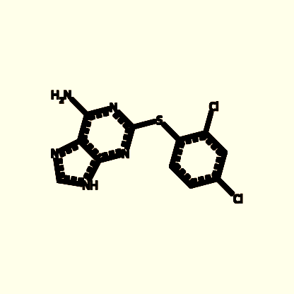 Nc1nc(Sc2ccc(Cl)cc2Cl)nc2[nH]cnc12